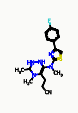 CC1NNC(N(C)c2nc(-c3ccc(F)cc3)cs2)=C(CCC#N)N1C